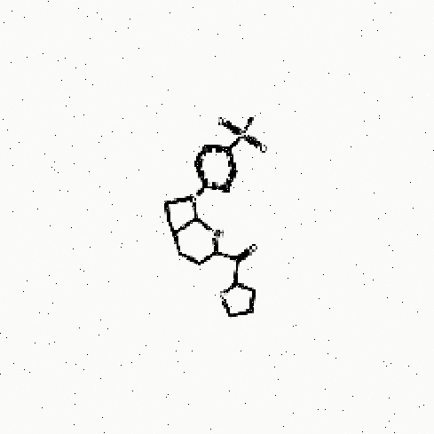 CS(=O)(=O)c1ccc(N2CCC3CCC(C(=O)C4CCCS4)NC32)cc1